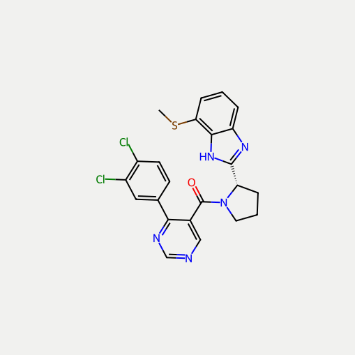 CSc1cccc2nc([C@@H]3CCCN3C(=O)c3cncnc3-c3ccc(Cl)c(Cl)c3)[nH]c12